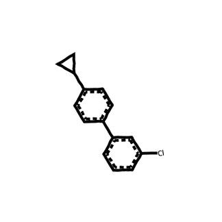 Clc1cccc(-c2ccc(C3CC3)cc2)c1